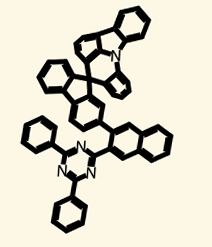 c1ccc(-c2nc(-c3ccccc3)nc(-c3cc4ccccc4cc3-c3ccc4c(c3)C3(c5ccccc5-4)c4ccccc4-n4c5ccccc5c5cccc3c54)n2)cc1